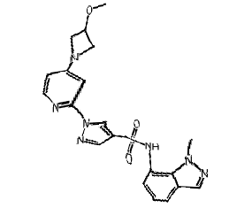 COC1CN(c2ccnc(-n3cc(S(=O)(=O)Nc4cccc5cnn(C)c45)cn3)c2)C1